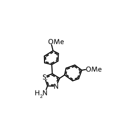 COc1ccc(-c2nc(N)sc2-c2ccc(OC)cc2)cc1